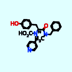 CN(Cc1ccccc1)C(=O)[C@H](Cc1ccc(O)cc1)N(Cc1ccncc1)C(=O)O